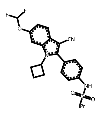 CC(C)S(=O)(=O)Nc1ccc(-c2c(C#N)c3ccc(OC(F)F)cc3n2C2CCC2)cc1